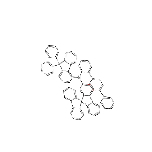 c1ccc(-c2ccc(-c3ccccc3N(c3ccc4c(c3)C3(c5ccccc5-c5ccccc53)c3ccccc3-4)c3cccc4c3-c3ccccc3C4(c3ccccc3)c3ccccc3)cc2)cc1